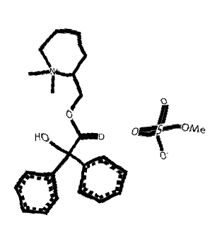 COS(=O)(=O)[O-].C[N+]1(C)CCCCC1COC(=O)C(O)(c1ccccc1)c1ccccc1